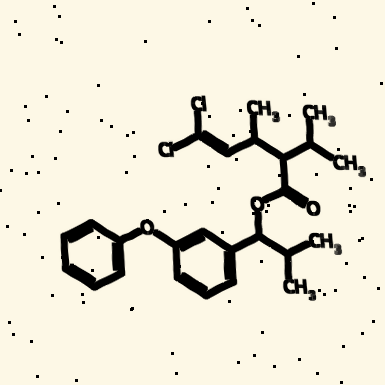 CC(C)C(OC(=O)C(C(C)C)C(C)C=C(Cl)Cl)c1cccc(Oc2ccccc2)c1